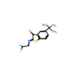 CC(C)(C)c1ccc2c(c1)C(=O)/C(=N/CC(F)F)S2